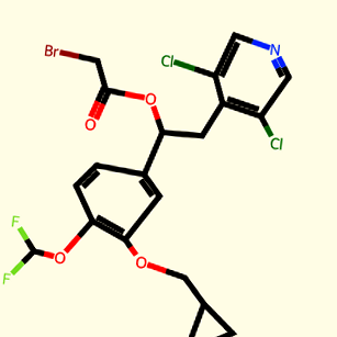 O=C(CBr)OC(Cc1c(Cl)cncc1Cl)c1ccc(OC(F)F)c(OCC2CC2)c1